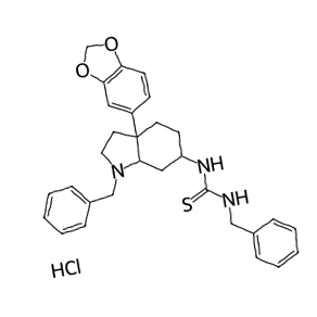 Cl.S=C(NCc1ccccc1)NC1CCC2(c3ccc4c(c3)OCO4)CCN(Cc3ccccc3)C2C1